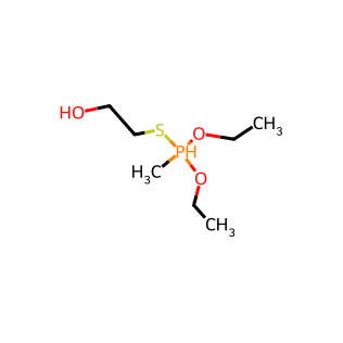 CCO[PH](C)(OCC)SCCO